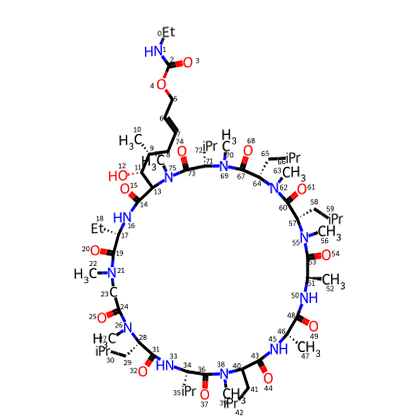 CCNC(=O)OC/C=C/C[C@@H](C)[C@@H](O)C1C(=O)N[C@@H](CC)C(=O)N(C)CC(=O)N(C)[C@@H](CC(C)C)C(=O)N[C@@H](C(C)C)C(=O)N(C)C(CC(C)C)C(=O)N[C@@H](C)C(=O)N[C@H](C)C(=O)N(C)[C@@H](CC(C)C)C(=O)N(C)[C@@H](CC(C)C)C(=O)N(C)[C@@H](C(C)C)C(=O)N1C